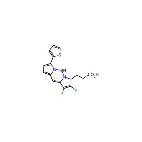 O=C(O)CCC1C(F)=C(F)C2=Cc3ccc(-c4cccs4)n3BN21